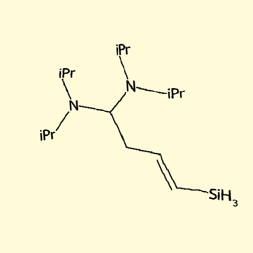 CC(C)N(C(C)C)C(CC=C[SiH3])N(C(C)C)C(C)C